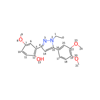 CCn1nc(-c2cc(OC)ccc2O)cc1-c1ccc(OC)c(OC)c1